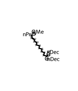 CCCCCCCCCCOC(CCCCCCCCCC=CC(CCC)OOC)OCCCCCCCCCC